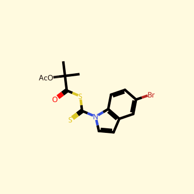 CC(=O)OC(C)(C)C(=O)SC(=S)n1ccc2cc(Br)ccc21